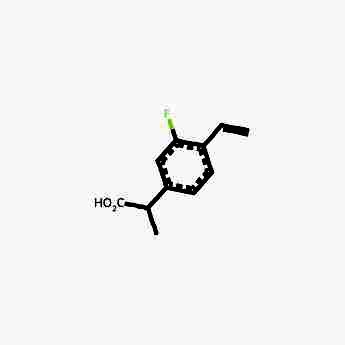 C=Cc1ccc(C(C)C(=O)O)cc1F